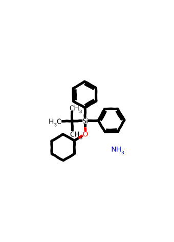 CC(C)(C)[Si](OC1CCCCC1)(c1ccccc1)c1ccccc1.N